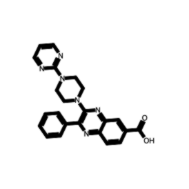 O=C(O)c1ccc2nc(-c3ccccc3)c(N3CCN(c4ncccn4)CC3)nc2c1